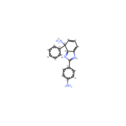 Nc1ccc(C2=NC3=CC=CC(N)(c4ccccc4)C3=N2)cc1